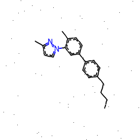 CCCCc1ccc(-c2ccc(C)c(-n3ccc(C)n3)c2)cc1